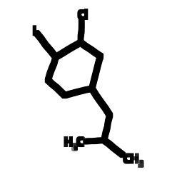 CC(C)CC1CCC(I)C(Cl)C1